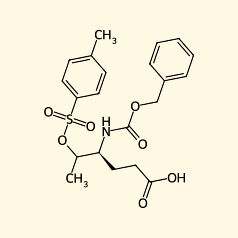 Cc1ccc(S(=O)(=O)OC(C)[C@H](CCC(=O)O)NC(=O)OCc2ccccc2)cc1